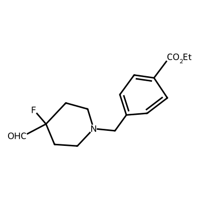 CCOC(=O)c1ccc(CN2CCC(F)(C=O)CC2)cc1